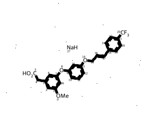 COc1cc(CC(=O)O)cc(Oc2cccc(OCC=Cc3ccc(C(F)(F)F)cc3)c2)c1.[NaH]